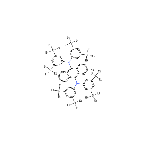 CC[Si](CC)(CC)c1cc(N(c2cc([Si](CC)(CC)CC)cc([Si](CC)(CC)CC)c2)c2c3ccccc3c(N(c3cc([Si](CC)(CC)CC)cc([Si](CC)(CC)CC)c3)c3cc([Si](CC)(CC)CC)cc([Si](CC)(CC)CC)c3)c3cc(C(C)(C)C)ccc23)cc([Si](CC)(CC)CC)c1